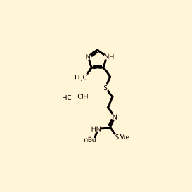 CCCCNC(=NCCSCc1[nH]cnc1C)SC.Cl.Cl